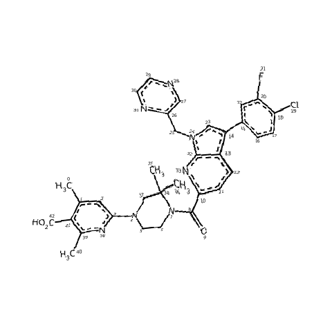 Cc1cc(N2CCN(C(=O)c3ccc4c(-c5ccc(Cl)c(F)c5)cn(Cc5cnccn5)c4n3)C(C)(C)C2)nc(C)c1C(=O)O